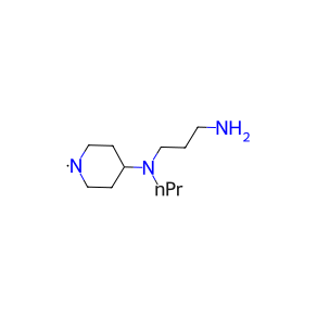 CCCN(CCCN)C1CC[N]CC1